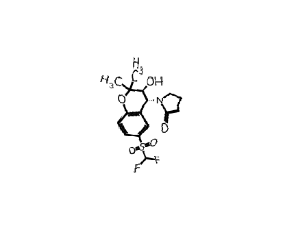 CC1(C)Oc2ccc(S(=O)(=O)C(F)F)cc2[C@@H](N2CCCC2=O)[C@@H]1O